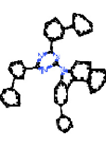 c1ccc(-c2cccc(-c3nc(-c4cccc(-c5ccccc5)c4)nc(-n4c5ccc(-c6ccccc6)cc5c5c6ccccc6ccc54)n3)c2)cc1